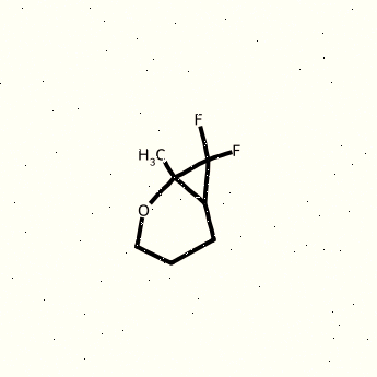 CC12OCCCC1C2(F)F